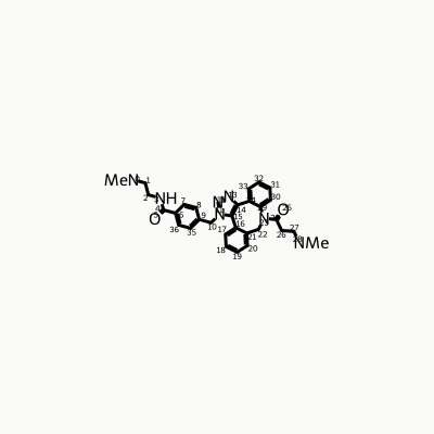 CNCCNC(=O)c1ccc(Cn2nnc3c2-c2ccccc2CN(C(=O)CCNC)c2ccccc2-3)cc1